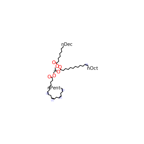 CCCCC/C=C\C/C=C\C/C=C\C/C=C\CCCCCC(=O)OC[C@@H](COC(=O)CCCCCCCCCCCCCCCCC)OC(=O)CCCCCCCCC/C=C\CCCCCCCC